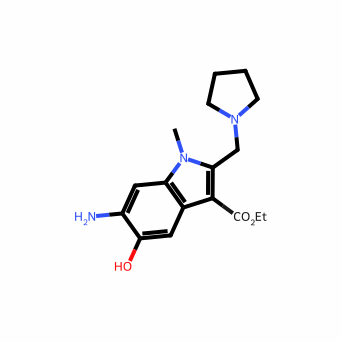 CCOC(=O)c1c(CN2CCCC2)n(C)c2cc(N)c(O)cc12